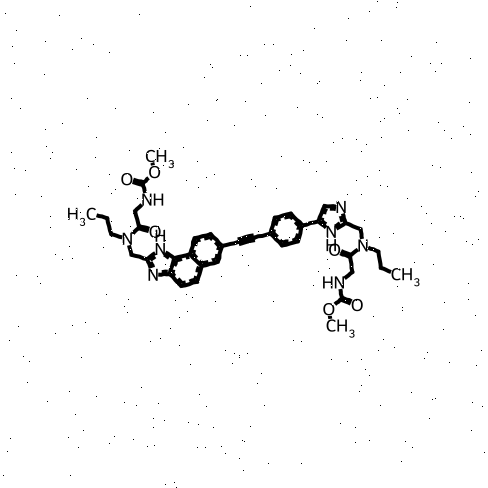 CCCN(Cc1ncc(-c2ccc(C#Cc3ccc4c(ccc5nc(CN(CCC)C(=O)CNC(=O)OC)[nH]c54)c3)cc2)[nH]1)C(=O)CNC(=O)OC